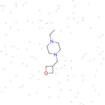 CCN1CCN(CC2COC2)CC1